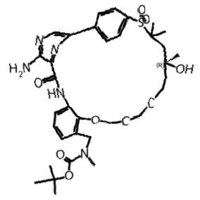 CN(Cc1cccc2c1OCCCCCC[C@@](C)(O)CC(C)(C)S(=O)(=O)c1ccc(cc1)-c1cnc(N)c(n1)C(=O)N2)C(=O)OC(C)(C)C